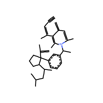 C#C/C=C(/C)C(C(=C)/C=C(/C)NC(C)c1cccc(C2(C(=C)C)CCCC2C(C)CC(C)C)c1)=C(C)C